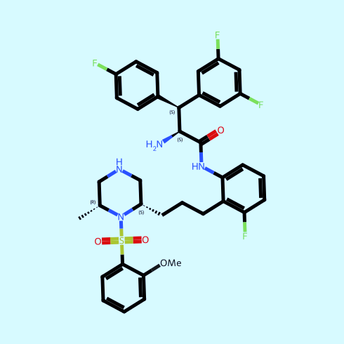 COc1ccccc1S(=O)(=O)N1[C@@H](CCCc2c(F)cccc2NC(=O)[C@@H](N)[C@@H](c2ccc(F)cc2)c2cc(F)cc(F)c2)CNC[C@H]1C